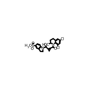 CC1CCc2cc(Cl)cc(Cl)c2N1C(=O)C1CC1C(=O)N1CCc2cc(S(C)(=O)=O)ccc21